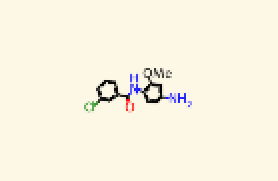 COc1cc(N)ccc1NC(=O)c1cccc(Cl)c1